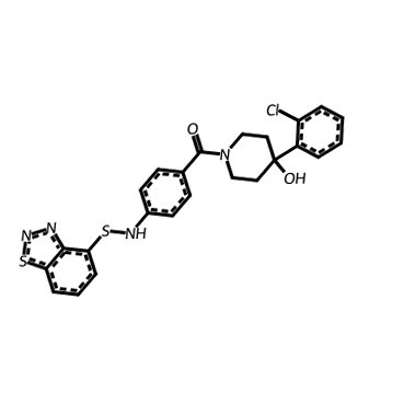 O=C(c1ccc(NSc2cccc3snnc23)cc1)N1CCC(O)(c2ccccc2Cl)CC1